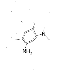 Cc1cc(C)c(N(C)C)cc1N